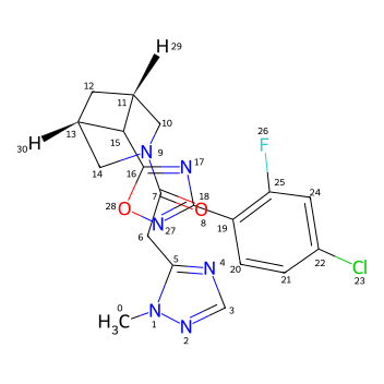 Cn1ncnc1CC(=O)N1C[C@H]2C[C@@H](C1)C2c1nc(-c2ccc(Cl)cc2F)no1